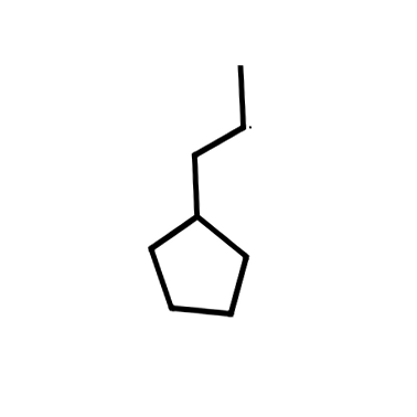 C[CH]CC1CCCC1